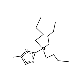 CCC[CH2][Sn]([CH2]CCC)([CH2]CCC)[c]1nc(C)cs1